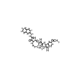 COc1ccc2[nH]c(C)c(CC(=O)N[C@@H]3CCCCCC(C(=O)NCCc4ccc5ccccc5c4)CO3)c2c1